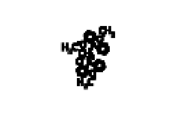 CCOc1ccccc1P(CCCP(c1ccccc1OCC)c1ccccc1OCC)c1ccccc1OCC